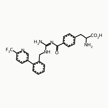 NC(=NC(=O)c1ccc(CC(N)C(=O)O)cc1)NCc1ccccc1-c1ccc(C(F)(F)F)nc1